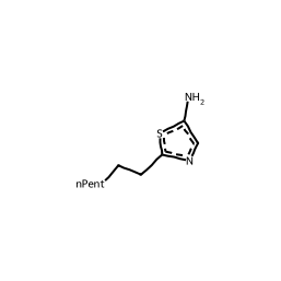 CCCCCCCc1ncc(N)s1